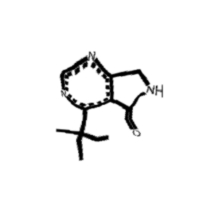 CC(C)(C)c1ncnc2c1C(=O)NC2